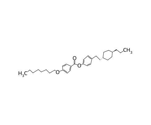 CCCCCCCCOc1ccc(C(=O)Oc2ccc(CC[C@H]3CC[C@H](CCC)CC3)cc2)cc1